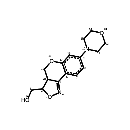 OCC1ON=C2c3ccc(N4CCOCC4)cc3OCC21